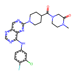 CN1CCN(C(=O)C2CCN(c3ncc4ncnc(Nc5ccc(F)c(Cl)c5)c4n3)CC2)CC1=O